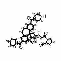 CN1CCN(C(=O)c2ccc3c(c2)CCc2cc(C(=O)N4CCNCC4)ccc2C3(CCNCC(=O)N2CCCC2C#N)c2nnn[nH]2)CC1